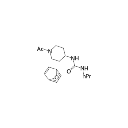 CCCNC(=O)NC1CCN(C(C)=O)CC1.c1cc2ccc1o2